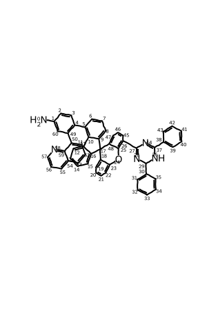 Nc1ccc(-c2cccc3c2-c2ccccc2C32c3ccccc3Oc3c(C4=NC(c5ccccc5)NC(c5ccccc5)=N4)cccc32)c(-c2cccc3cccnc23)c1